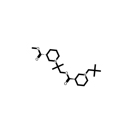 COC(=O)[C@@H]1CCCN(C(C)(C)COC(=O)[C@@H]2CCCN(CC(C)(C)C)C2)C1